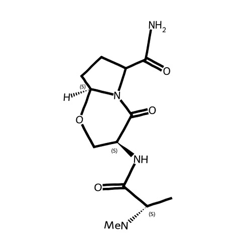 CN[C@@H](C)C(=O)N[C@H]1CO[C@H]2CCC(C(N)=O)N2C1=O